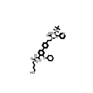 CC(C)(C)[Si](C)(C)O[C@@H](CN(CCc1ccc(-c2ccc(C(=O)NS(=O)(=O)CCCCO)c(OC3CCCCC3)c2)cc1)C(=O)O)c1cccnc1